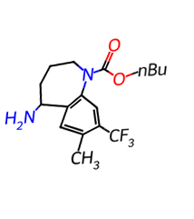 CCCCOC(=O)N1CCCC(N)c2cc(C)c(C(F)(F)F)cc21